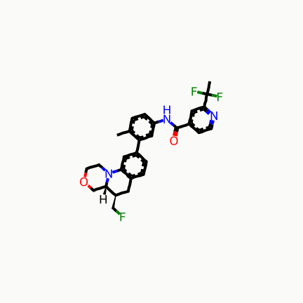 Cc1ccc(NC(=O)c2ccnc(C(C)(F)F)c2)cc1-c1ccc2c(c1)N1CCOC[C@H]1[C@H](CF)C2